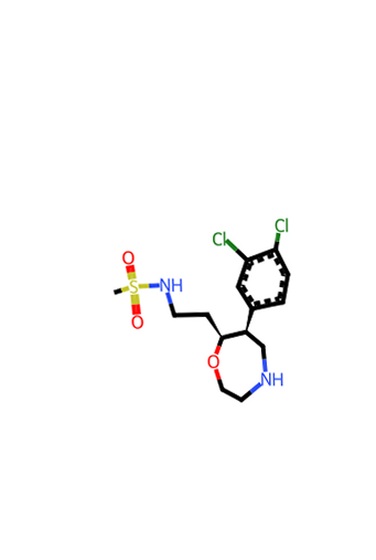 CS(=O)(=O)NCC[C@@H]1OCCNC[C@@H]1c1ccc(Cl)c(Cl)c1